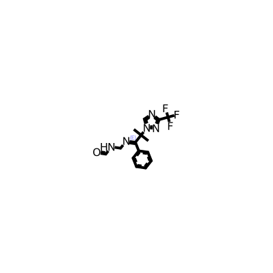 CC(C)(/C(=N/CNC=O)c1ccccc1)n1cnc(C(F)(F)F)n1